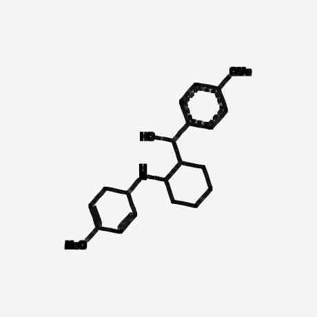 COC1=CCC(NC2CCCCC2C(O)c2ccc(OC)cc2)C=C1